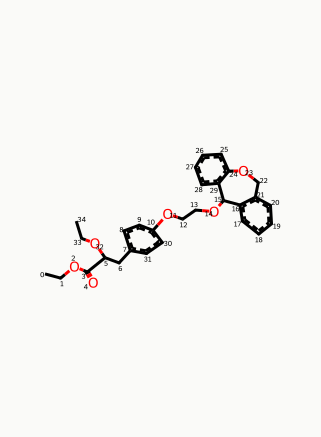 CCOC(=O)C(Cc1ccc(OCCOC2c3ccccc3COc3ccccc32)cc1)OCC